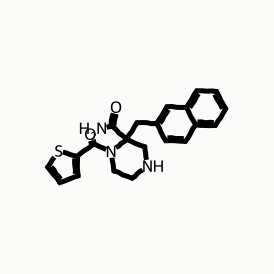 NC(=O)C1(Cc2ccc3ccccc3c2)CNCCN1C(=O)c1cccs1